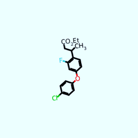 CCOC(=O)CC(C)c1ccc(Oc2ccc(Cl)cc2)cc1F